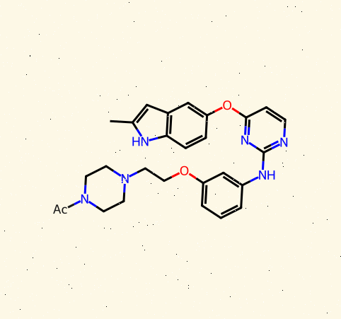 CC(=O)N1CCN(CCOc2cccc(Nc3nccc(Oc4ccc5[nH]c(C)cc5c4)n3)c2)CC1